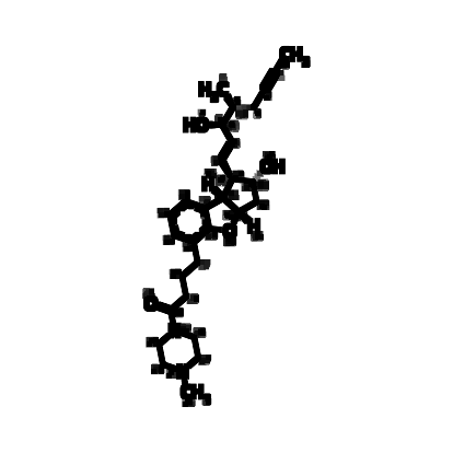 CC#CC[C@H](C)[C@H](O)C=C[C@@H]1[C@H]2c3cccc(CCCC(=O)N4CCN(C)CC4)c3O[C@H]2C[C@H]1O